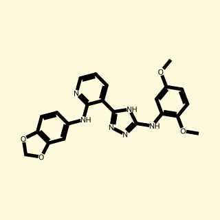 COc1ccc(OC)c(Nc2nnc(-c3cccnc3Nc3ccc4c(c3)OCO4)[nH]2)c1